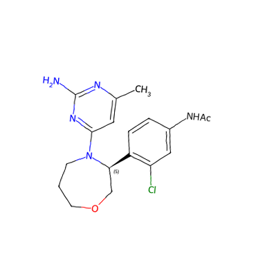 CC(=O)Nc1ccc([C@H]2COCCCN2c2cc(C)nc(N)n2)c(Cl)c1